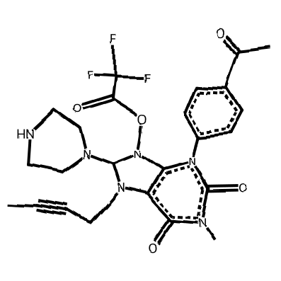 CC#CCN1c2c(n(-c3ccc(C(C)=O)cc3)c(=O)n(C)c2=O)N(OC(=O)C(F)(F)F)C1N1CCNCC1